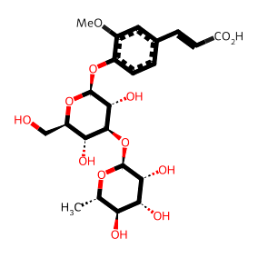 COc1cc(/C=C/C(=O)O)ccc1O[C@@H]1O[C@H](CO)[C@@H](O)[C@H](O[C@@H]2O[C@@H](C)[C@H](O)[C@@H](O)[C@H]2O)[C@H]1O